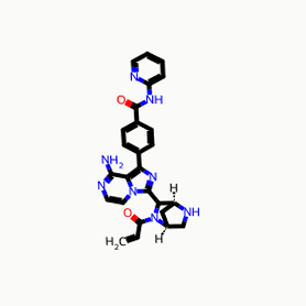 C=CC(=O)N1C(c2nc(-c3ccc(C(=O)Nc4ccccn4)cc3)c3c(N)nccn23)[C@@H]2C[C@H]1CN2